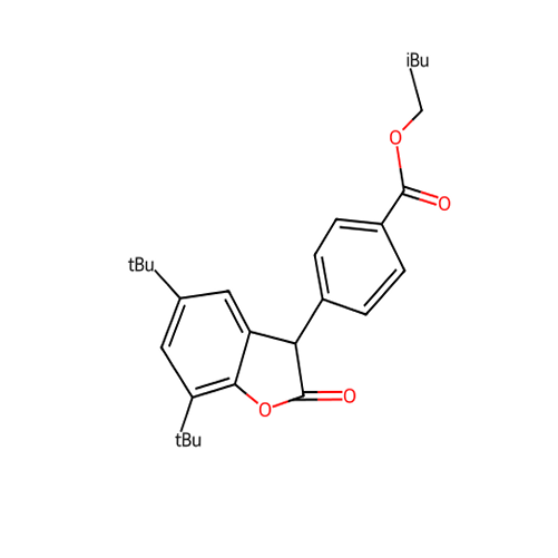 CCC(C)COC(=O)c1ccc(C2C(=O)Oc3c2cc(C(C)(C)C)cc3C(C)(C)C)cc1